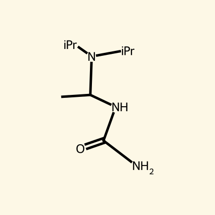 CC(C)N(C(C)C)C(C)NC(N)=O